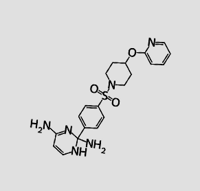 NC1=NC(N)(c2ccc(S(=O)(=O)N3CCC(Oc4ccccn4)CC3)cc2)NC=C1